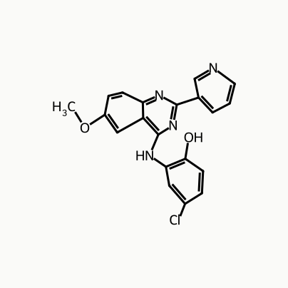 COc1ccc2nc(-c3cccnc3)nc(Nc3cc(Cl)ccc3O)c2c1